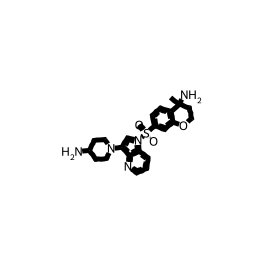 CC1(N)CCOc2cc(S(=O)(=O)n3cc(N4CCC(N)CC4)c4ncccc43)ccc21